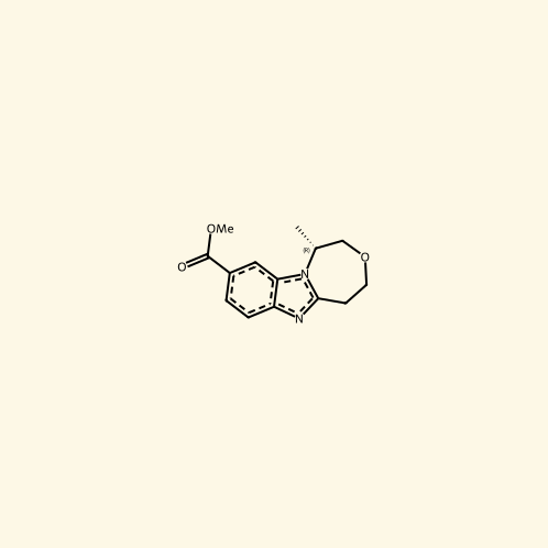 COC(=O)c1ccc2nc3n(c2c1)[C@H](C)COCC3